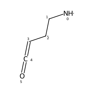 [NH]C[CH]C=C=O